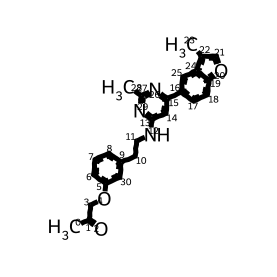 CC(=O)COc1cccc(CCNc2cc(-c3ccc4occ(C)c4c3)nc(C)n2)c1